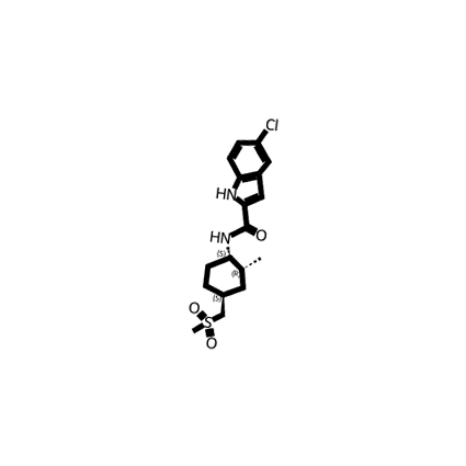 C[C@@H]1C[C@@H](CS(C)(=O)=O)CC[C@@H]1NC(=O)c1cc2cc(Cl)ccc2[nH]1